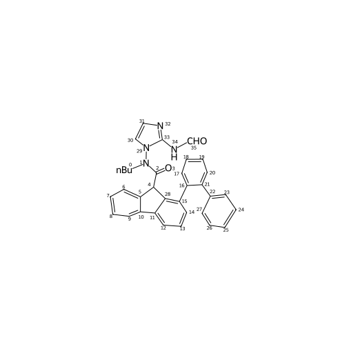 CCCCN(C(=O)C1c2ccccc2-c2cccc(-c3ccccc3-c3ccccc3)c21)n1ccnc1NC=O